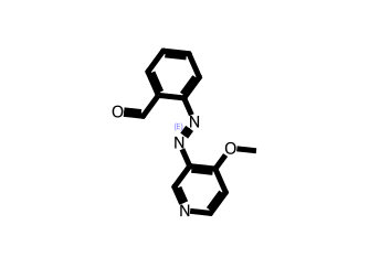 COc1ccncc1/N=N/c1ccccc1C=O